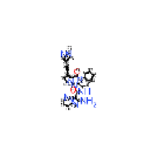 CC(NC(=O)c1c(N)nc2cccnn12)c1nn2ccc(C#Cc3cnn(C)c3)c2c(=O)n1-c1ccccc1